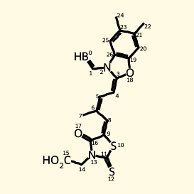 B=CN1C(=CC=C(C)C=C2SC(=S)N(CC(=O)O)C2=O)Oc2cc(C)c(C)cc21